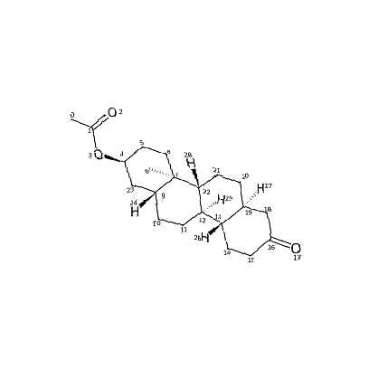 CC(=O)O[C@H]1CC[C@]2(C)[C@H](CC[C@@H]3[C@H]4CCC(=O)C[C@@H]4CC[C@H]32)C1